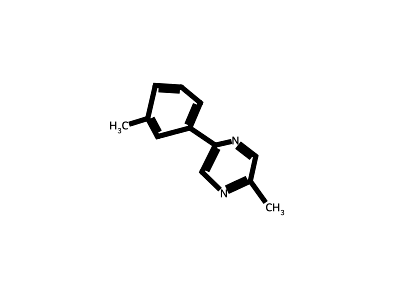 Cc1cccc(-c2cnc(C)cn2)c1